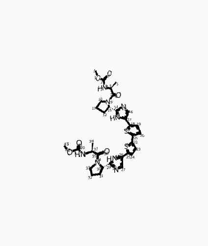 COC(=O)N[C@@H](C)C(=O)N1CCC[C@H]1c1ncc(-c2ccc(-c3ccc(-c4cnc([C@@H]5CCCN5C(=O)[C@H](C)NC(=O)OC)[nH]4)s3)s2)[nH]1